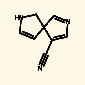 N#CC1=CN=CC12C=CNC2